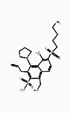 Cc1c(S(=O)(=O)CCCCN)ccc2c(CO)c(S(N)(=O)=O)c(CC=O)c(N3CCCC3)c12